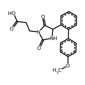 COc1ccc(-c2ccccc2C2NC(=O)N(CCC(=O)O)C2=O)cc1